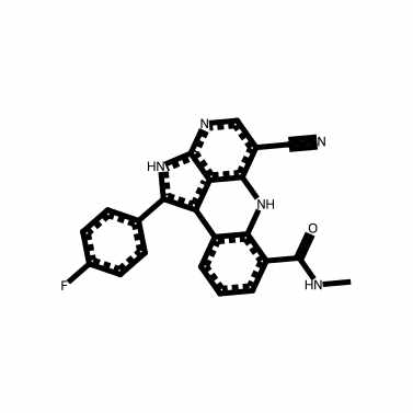 CNC(=O)c1cccc2c1Nc1c(C#N)cnc3[nH]c(-c4ccc(F)cc4)c-2c13